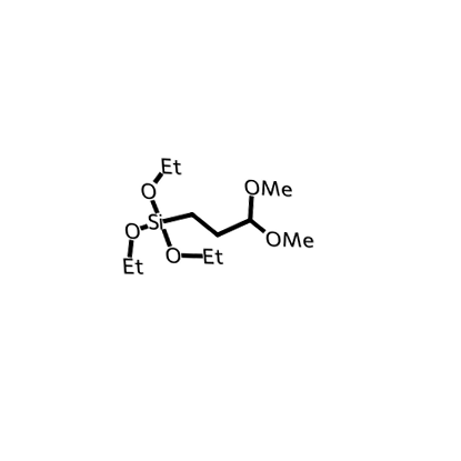 CCO[Si](CCC(OC)OC)(OCC)OCC